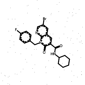 O=C(NC1CCCCC1)c1cc2cc(Br)cnc2n(Cc2ccc(F)cc2)c1=O